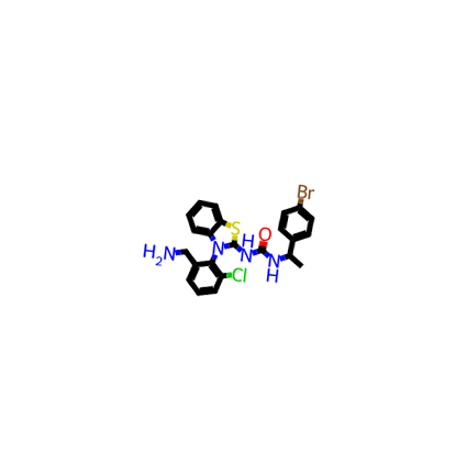 CC(NC(=O)NC1Sc2ccccc2N1c1c(Cl)cccc1CN)c1ccc(Br)cc1